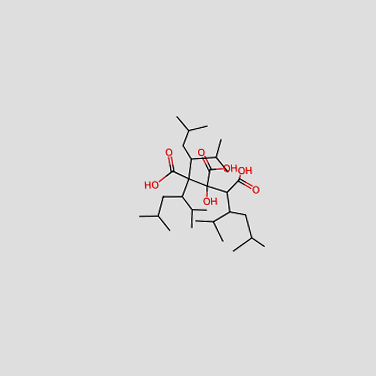 CC(C)CC(C(C)C)C(C(=O)O)C(O)(C(=O)O)C(C(=O)O)(C(CC(C)C)C(C)C)C(CC(C)C)C(C)C